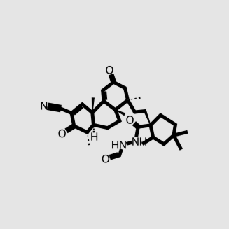 CC1CC(C)(C)CC[C@@]1(CC[C@]1(C)CC(=O)C=C2[C@@]3(C)C=C(C#N)C(=O)[C@@H](C)[C@@H]3CC[C@]21C)C(=O)NNC=O